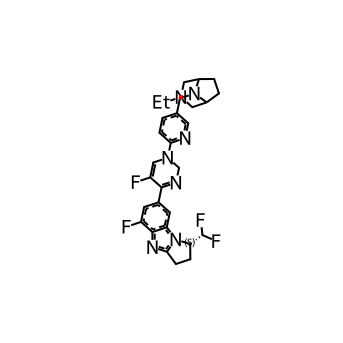 CCN1CC2CCC(C1)N2Cc1ccc(N2C=C(F)C(c3cc(F)c4nc5n(c4c3)[C@H](C(F)F)CC5)=NC2)nc1